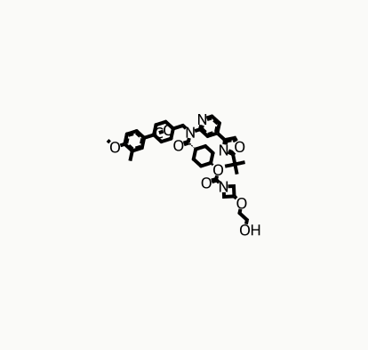 COc1ccc(C23CCC(CN(c4cc(-c5coc(C(C)(C)C)n5)ccn4)C(=O)[C@H]4CC[C@H](OC(=O)N5CC(OCCO)C5)CC4)(CC2)CC3)cc1C